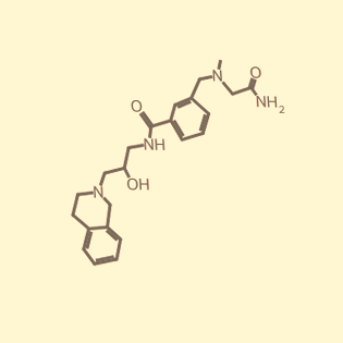 CN(CC(N)=O)Cc1cccc(C(=O)NCC(O)CN2CCc3ccccc3C2)c1